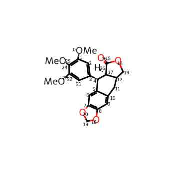 COc1cc([C@@H]2c3cc4c(cc3CC3COC(=O)[C@@H]32)OCO4)cc(OC)c1OC